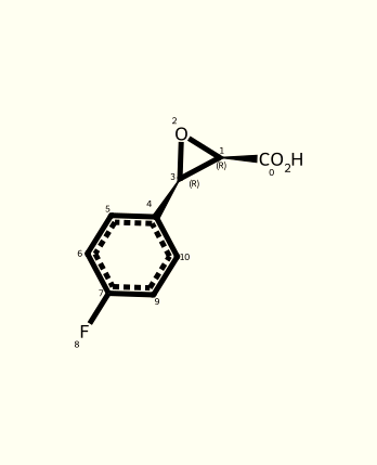 O=C(O)[C@@H]1O[C@@H]1c1ccc(F)cc1